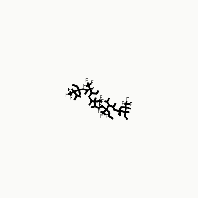 CCCC(CCC(C)C(C)(C(C)CC(CC)[C@](C)(C(C)CC(C)(CC)C(C)(C(C)C)C(F)(F)F)C(F)(F)F)C(F)(F)F)(C(C(C)C)C(C)CC(C)CC(C)(C(F)(F)F)C(C)(CC)CC)C(F)(F)F